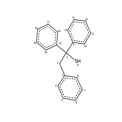 SC(Cc1ccccc1)(c1ccccc1)c1ccccc1